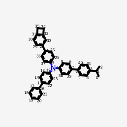 CC(C)c1ccc(-c2ccc(N(c3ccc(-c4ccccc4)cc3)c3ccc(-c4ccc5c(c4)CC5)cc3)cc2)cc1